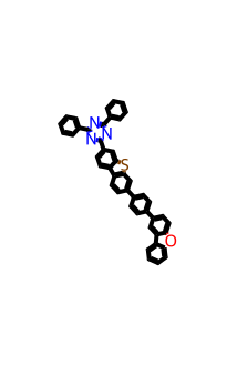 c1ccc(-c2nc(-c3ccccc3)nc(-c3ccc4c(c3)sc3cc(-c5ccc(-c6ccc7oc8ccccc8c7c6)cc5)ccc34)n2)cc1